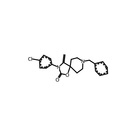 C=C1N(c2ccc(Cl)cc2)C(=O)OC12CCN(Cc1ccccc1)CC2